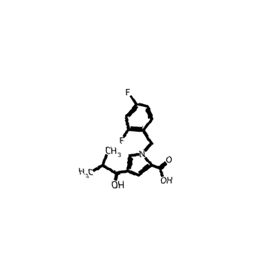 CC(C)C(O)c1cc(C(=O)O)n(Cc2ccc(F)cc2F)c1